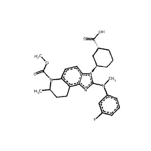 COC(=O)N1c2ccc3c(nc(N(C)c4cccc(F)c4)n3[C@@H]3CCC[C@@H](C(=O)O)C3)c2CCC1C